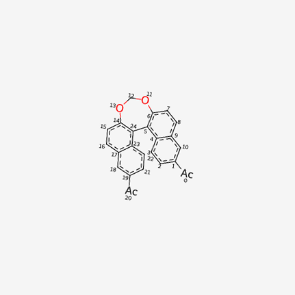 CC(=O)c1ccc2c3c(ccc2c1)OCOc1ccc2cc(C(C)=O)ccc2c1-3